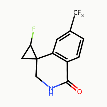 O=C1NCC2(CC2F)c2cc(C(F)(F)F)ccc21